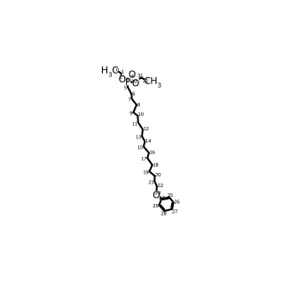 CCOP(=O)(CCCCCCCCCCCCCCCCCCOc1ccccc1)OCC